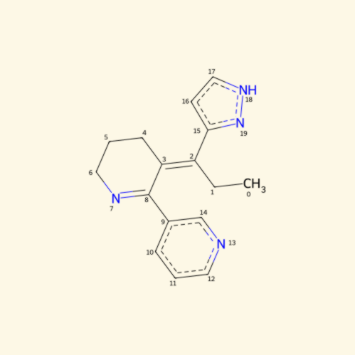 CCC(=C1CCCN=C1c1cccnc1)c1cc[nH]n1